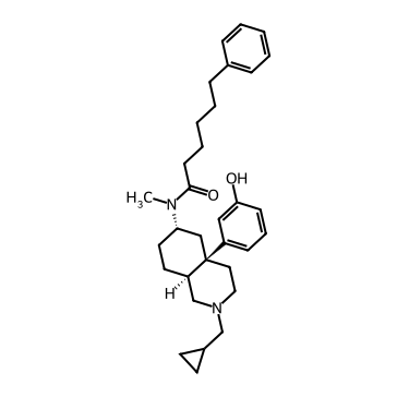 CN(C(=O)CCCCCc1ccccc1)[C@H]1CC[C@@H]2CN(CC3CC3)CC[C@@]2(c2cccc(O)c2)C1